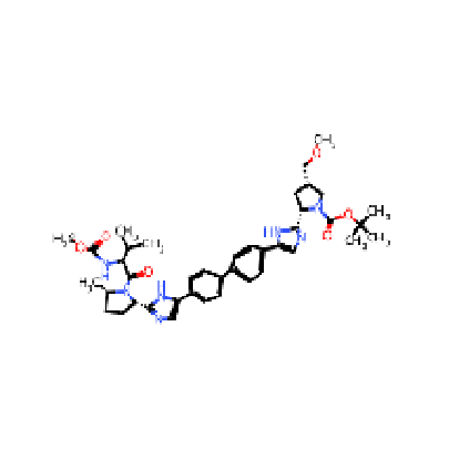 COC[C@H]1C[C@@H](c2ncc(-c3ccc(-c4ccc(-c5cnc([C@@H]6CC[C@H](C)N6C(=O)C(NC(=O)OC)C(C)C)[nH]5)cc4)cc3)[nH]2)N(C(=O)OC(C)(C)C)C1